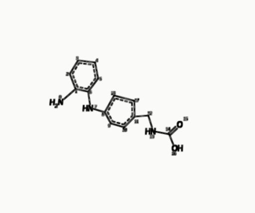 Nc1ccccc1Nc1ccc(CNC(=O)O)cc1